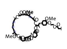 CO[C@H]1C[C@@H]2CC[C@@H](C)[C@@](O)(O2)C(=O)C(=O)N2CCCC[C@H]2C(=O)OC([C@H](C)C[C@@H]2CC[C@@H](OCCOC(=O)CI)[C@H](OC)C2)CC(=O)[C@H](C)/C=C(\C)[C@@H](O)[C@@H](OC)C(=O)[C@H](C)C[C@@H](C)\C=C/C=C/C=C/1C